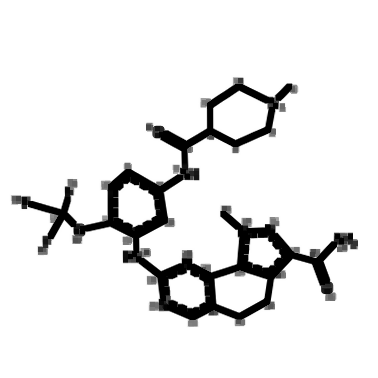 CN1CCC(C(=O)Nc2ccc(OC(F)(F)F)c(Nc3ncc4c(n3)-c3c(c(C(N)=O)nn3C)CC4)c2)CC1